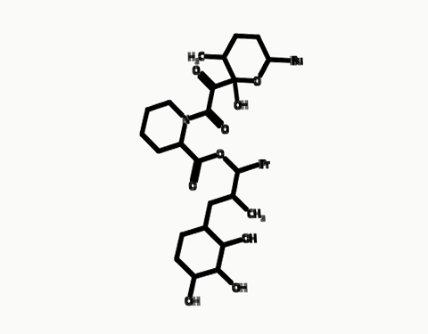 CCC(C)C1CCC(C)C(O)(C(=O)C(=O)N2CCCCC2C(=O)OC(C(C)C)C(C)CC2CCC(O)C(O)C2O)O1